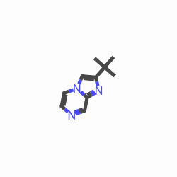 CC(C)(C)c1cn2ccncc2n1